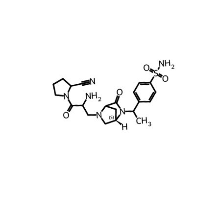 CC(c1ccc(S(N)(=O)=O)cc1)N1C(=O)C2C[C@H]1CN2CC(N)C(=O)N1CCCC1C#N